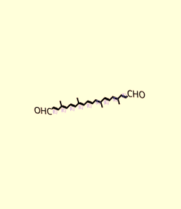 CC(/C=C/C=O)=C\C=C\C(C)=C\C=C\C=C(C)\C=C\C=C(C)\C=C\C=O